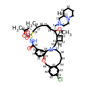 CO[C@]1(CN2CCN3CCCC[C@@H]3C2)/C=C/C[C@H](C)[C@@H](C[C@H](C)O)S(=O)(=O)NC(=O)c2ccc3c(c2)N(CCCCc2cc(Cl)ccc2CO3)C[C@@H]2CC[C@H]21